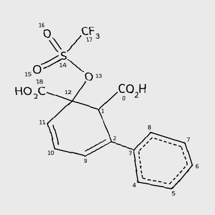 O=C(O)C1C(c2ccccc2)=CC=CC1(OS(=O)(=O)C(F)(F)F)C(=O)O